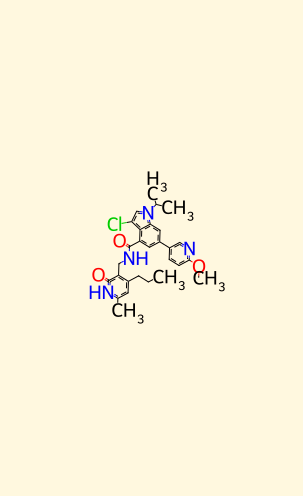 CCCc1cc(C)[nH]c(=O)c1CNC(=O)c1cc(-c2ccc(OC)nc2)cc2c1c(Cl)cn2C(C)C